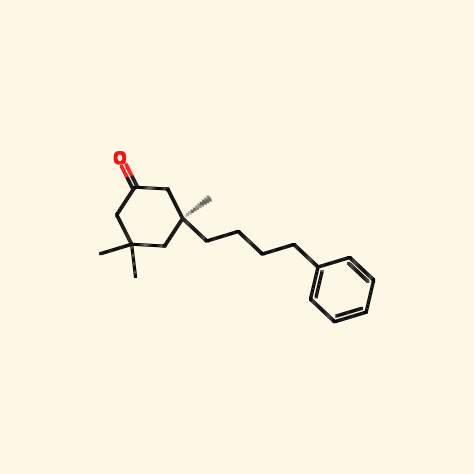 CC1(C)CC(=O)C[C@@](C)(CCCCc2ccccc2)C1